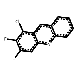 Fc1cc2nc3ccccc3cc2c(Cl)c1F